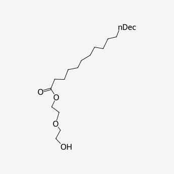 CCCCCCCCCCCCCCCCCCCCC(=O)OCCOCCO